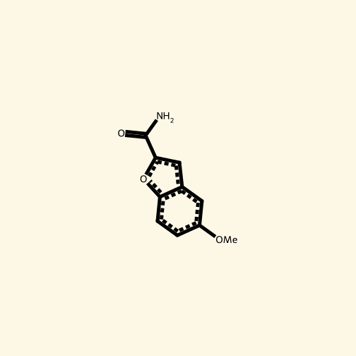 COc1ccc2oc(C(N)=O)cc2c1